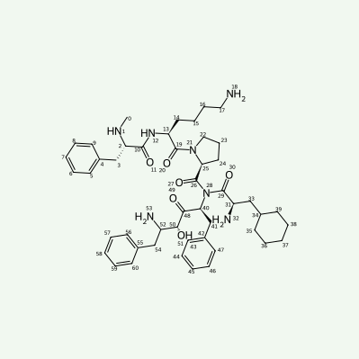 CN[C@@H](Cc1ccccc1)C(=O)N[C@@H](CCCCN)C(=O)N1CCC[C@H]1C(=O)N(C(=O)[C@H](N)CC1CCCCC1)[C@@H](Cc1ccccc1)C(=O)[C@H](O)C(N)Cc1ccccc1